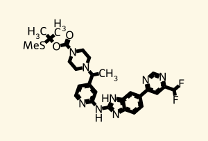 CSC(C)(C)OC(=O)N1CCN(C(C)c2ccnc(Nc3nc4ccc(-c5cc(C(F)F)ncn5)cc4[nH]3)c2)CC1